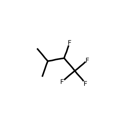 CC(C)C(F)C(F)(F)F